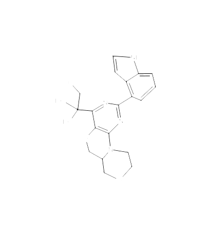 CCC(C)(O)c1nc(-c2cccc3[nH]ccc23)nc2c1OCC1COCCN21